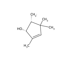 [CH2][C@H]1[C@@H](O)C(C)=CC1(C)C